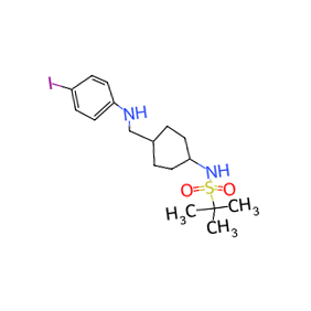 CC(C)(C)S(=O)(=O)NC1CCC(CNc2ccc(I)cc2)CC1